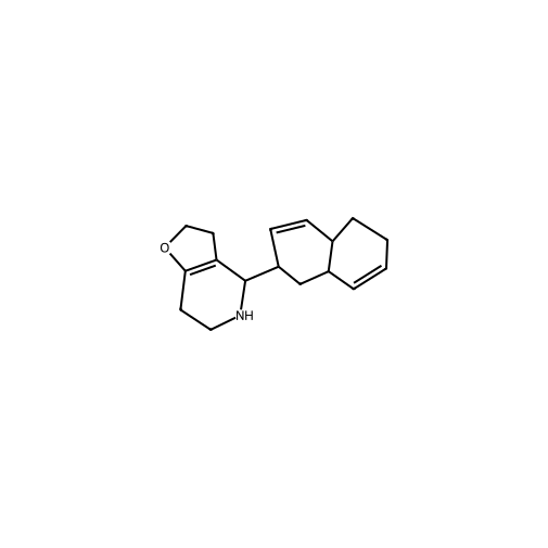 C1=CC2CC(C3NCCC4=C3CCO4)C=CC2CC1